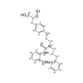 CCOC(Cc1ccc(OCCN(CCCc2ccccc2)C(=O)Nc2ccccc2OC)cc1)C(=O)O